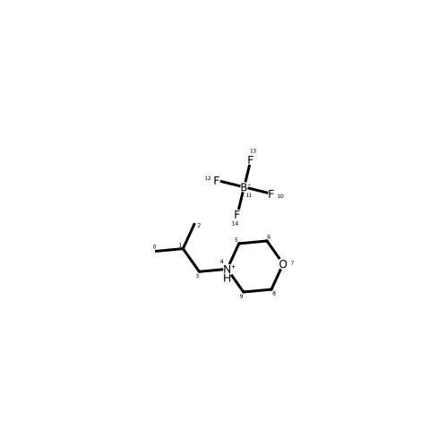 CC(C)C[NH+]1CCOCC1.F[B-](F)(F)F